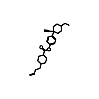 C#CC1(c2ccc(OC(=O)C3CCC(CCC=C)CC3)cc2)CCC(CC)CC1